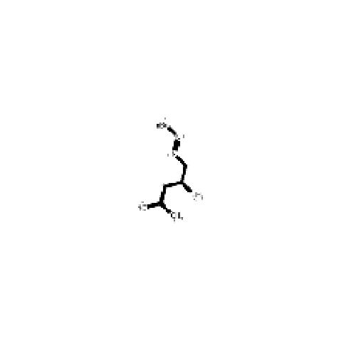 CCCCN=NCC(C)CC(C)C#N